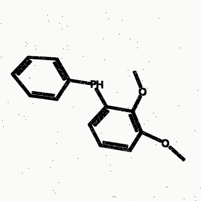 COc1cccc(Pc2ccccc2)c1OC